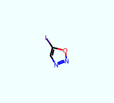 Ic1cnno1